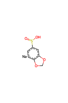 O=S(O)c1ccc2c(c1)OCO2.[Na]